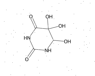 O=C1NC(=O)C(O)(O)C(O)N1